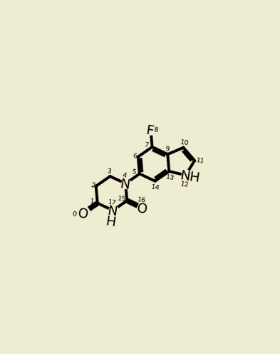 O=C1CCN(c2cc(F)c3cc[nH]c3c2)C(=O)N1